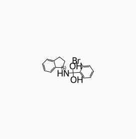 OC(O)(N[C@H]1CCc2ccccc21)c1ccccc1Br